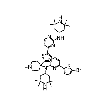 CN1CCC(c2ccc(-c3ccnc(NC4CC(C)(C)NC(C)(C)C4)n3)s2)(N(c2nccc(-c3ccc(Br)s3)n2)C2CC(C)(C)NC(C)(C)C2)CC1